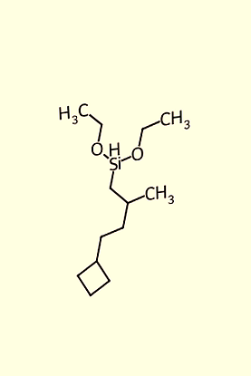 CCO[SiH](CC(C)CCC1CCC1)OCC